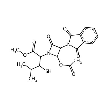 COC(=O)C(C(S)C(C)C)N1C(=O)C(N2C(=O)c3ccccc3C2=O)C1OC(C)=O